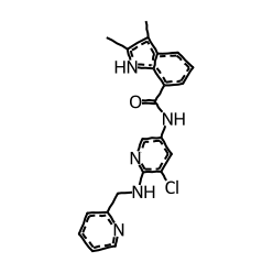 Cc1[nH]c2c(C(=O)Nc3cnc(NCc4ccccn4)c(Cl)c3)cccc2c1C